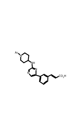 CC(=O)N1CCC(Nc2cncc(-c3cccc(C=CC(=O)O)c3)n2)CC1